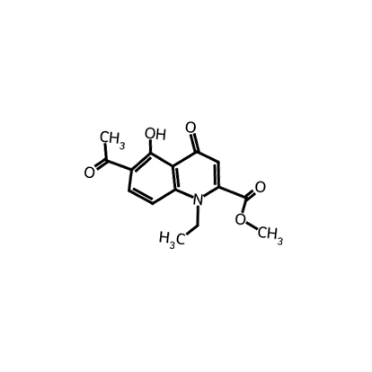 CCn1c(C(=O)OC)cc(=O)c2c(O)c(C(C)=O)ccc21